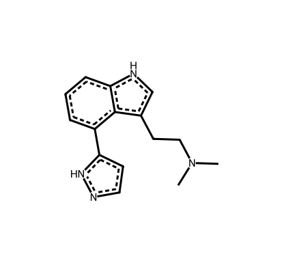 CN(C)CCc1c[nH]c2cccc(-c3ccn[nH]3)c12